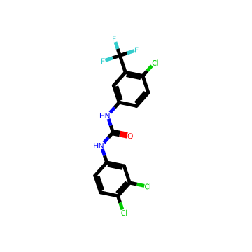 O=C(Nc1ccc(Cl)c(Cl)c1)Nc1ccc(Cl)c(C(F)(F)F)c1